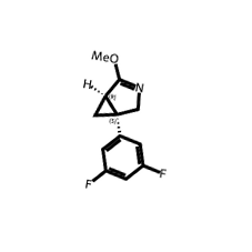 COC1=NC[C@@]2(c3cc(F)cc(F)c3)C[C@@H]12